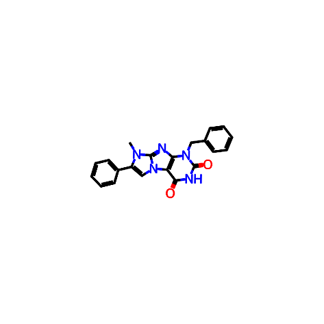 Cn1c(-c2ccccc2)cn2c3c(=O)[nH]c(=O)n(Cc4ccccc4)c3nc12